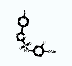 COc1ccc(NS(=O)(=O)c2cnc(-c3ccc(F)cc3)s2)cc1Cl